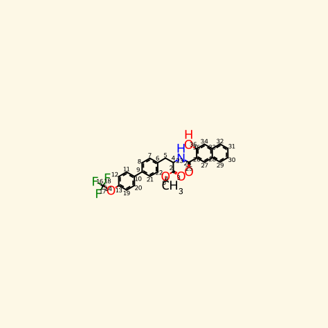 COC(=O)C(Cc1ccc(-c2ccc(OC(F)(F)F)cc2)cc1)NC(=O)c1cc2ccccc2cc1O